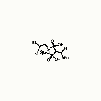 CCCCCCOP(=O)(O)C(C(CC)CCCC)P(=O)(O)OCC(CC)CCCC